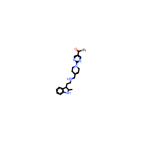 CCCC(=O)c1cnc(N2CCC(CNCCC3c4ccccc4NC3C)CC2)nc1